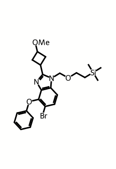 COC1CC(c2nc3c(Oc4ccccc4)c(Br)ccc3n2COCC[Si](C)(C)C)C1